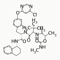 CNC(=O)OC(C)C(=O)NC(C(=O)N1Cc2cc(Oc3cc(Cl)ncn3)ccc2C[C@H]1C(=O)N[C@@H]1CCCc2ccccc21)C(C)(C)C